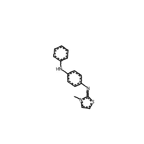 Cn1ccsc1=Nc1ccc(Nc2ccccc2)cc1